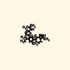 CC1=C(c2cc(N(C=O)CC(=O)NC(C)C)c(C(C)C)cc2C)CCCc2c1n[nH]c2C